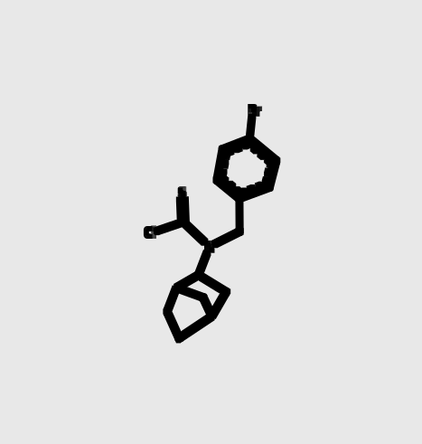 S=C(Cl)N(Cc1ccc(Br)cc1)C1CC2CCC1C2